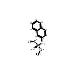 O=P(OCl)(OCl)Oc1ccc2ccccc2c1